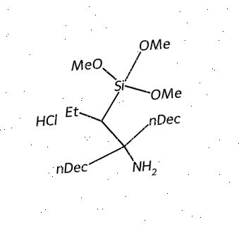 CCCCCCCCCCC(N)(CCCCCCCCCC)C(CC)[Si](OC)(OC)OC.Cl